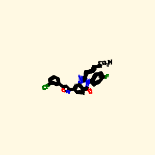 O=C(O)CCCCc1nc2cc(C3=NOC(c4cccc(Cl)c4)C3)ccc2c(=O)n1-c1ccc(F)cc1